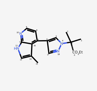 CCOC(=O)C(C)(C)n1cc(-c2ccnc3[nH]cc(C)c23)cn1